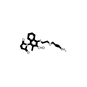 Cc1c(C=O)c(SCCOCC#CP)c2ccccc2c1N1C(=O)C=CC1=O